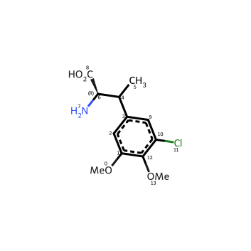 COc1cc(C(C)[C@@H](N)C(=O)O)cc(Cl)c1OC